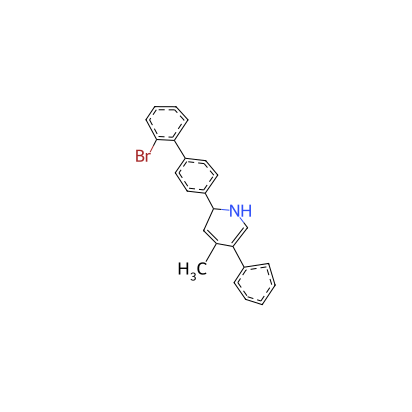 CC1=CC(c2ccc(-c3ccccc3Br)cc2)NC=C1c1ccccc1